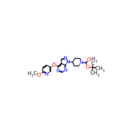 COc1ccc(Oc2ncnc3c2cnn3C2CCN(C(=O)OC(C)(C)C)CC2)cn1